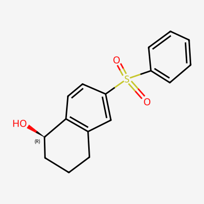 O=S(=O)(c1ccccc1)c1ccc2c(c1)CCC[C@H]2O